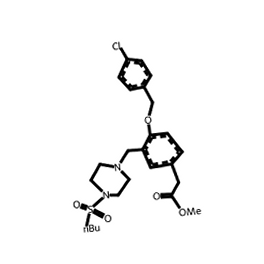 CCCCS(=O)(=O)N1CCN(Cc2cc(CC(=O)OC)ccc2OCc2ccc(Cl)cc2)CC1